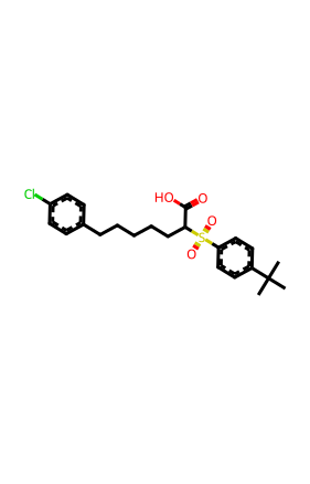 CC(C)(C)c1ccc(S(=O)(=O)C(CCCCCc2ccc(Cl)cc2)C(=O)O)cc1